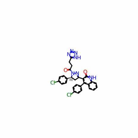 O=C(CCc1nnn[nH]1)N1N=C(c2c(-c3ccc(Cl)cc3)c3ccccc3[nH]c2=O)C[C@H]1c1ccc(Cl)cc1